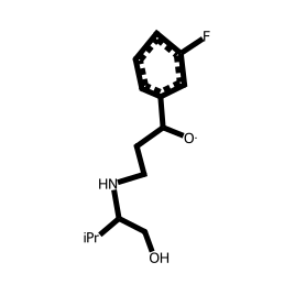 CC(C)C(CO)NCCC([O])c1cccc(F)c1